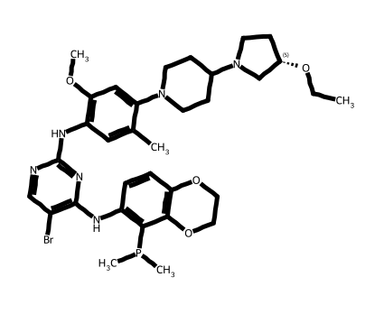 CCO[C@H]1CCN(C2CCN(c3cc(OC)c(Nc4ncc(Br)c(Nc5ccc6c(c5P(C)C)OCCO6)n4)cc3C)CC2)C1